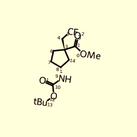 COC(=O)[C@@]1(CC(F)(F)F)CC[C@@H](NC(=O)OC(C)(C)C)C1